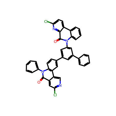 O=c1c2cc(Cl)ncc2c2cc(-c3cc(-c4ccccc4)cc(-n4c(=O)c5nc(Cl)ccc5c5ccccc54)c3)ccc2n1-c1ccccc1